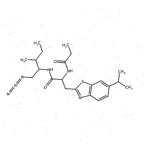 CCC(=O)NC(Cc1nc2ccc(C(C)C)cc2s1)C(=O)NC(CN=[N+]=[N-])C(C)CC